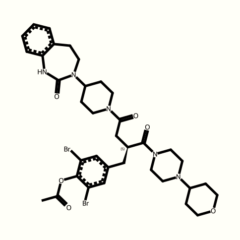 CC(=O)Oc1c(Br)cc(C[C@@H](CC(=O)N2CCC(N3CCc4ccccc4NC3=O)CC2)C(=O)N2CCN(C3CCOCC3)CC2)cc1Br